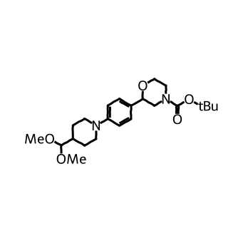 COC(OC)C1CCN(c2ccc(C3CN(C(=O)OC(C)(C)C)CCO3)cc2)CC1